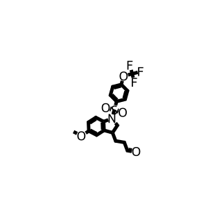 COc1ccc2c(c1)C(CCC=O)CN2S(=O)(=O)c1ccc(OC(F)(F)F)cc1